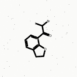 O=C(c1cccc2c1OCC2)C(Br)I